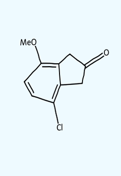 COc1ccc(Cl)c2c1CC(=O)C2